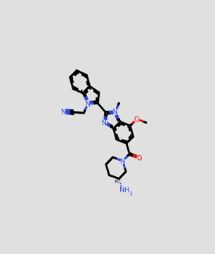 COc1cc(C(=O)N2CCC[C@@H](N)C2)cc2nc(-c3cc4ccccc4n3CC#N)n(C)c12